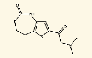 CN(C)CC(=O)c1cc2c(s1)CCCC(=O)N2